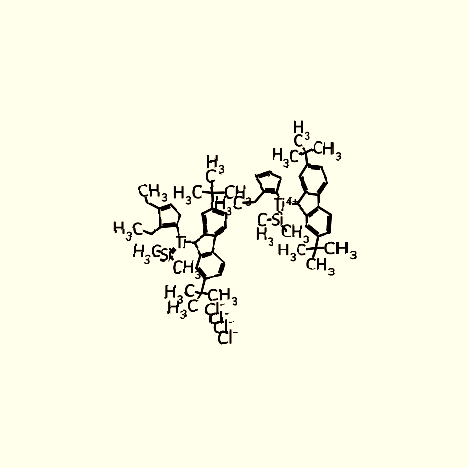 CCC1=CC[C]([Ti]([CH]2c3cc(C(C)(C)C)ccc3-c3ccc(C(C)(C)C)cc32)=[Si](C)C)=C1CC.CCC1=[C]([Ti+4]([CH]2c3cc(C(C)(C)C)ccc3-c3ccc(C(C)(C)C)cc32)=[Si](C)C)CC=C1.[Cl-].[Cl-].[Cl-].[Cl-]